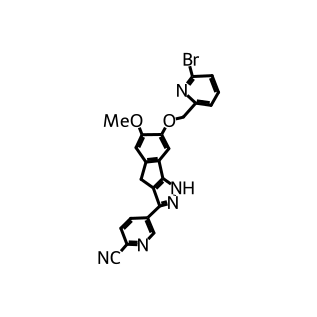 COc1cc2c(cc1OCc1cccc(Br)n1)-c1[nH]nc(-c3ccc(C#N)nc3)c1C2